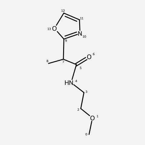 COCCNC(=O)C(C)c1ncco1